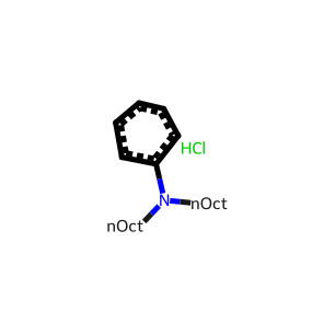 CCCCCCCCN(CCCCCCCC)c1ccccc1.Cl